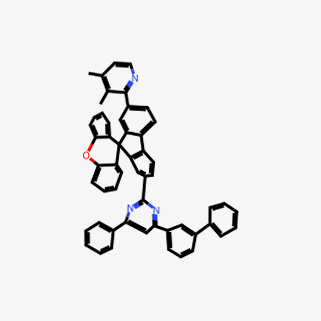 Cc1ccnc(-c2ccc3c(c2)C2(c4ccccc4Oc4ccccc42)c2cc(-c4nc(-c5ccccc5)cc(-c5cccc(-c6ccccc6)c5)n4)ccc2-3)c1C